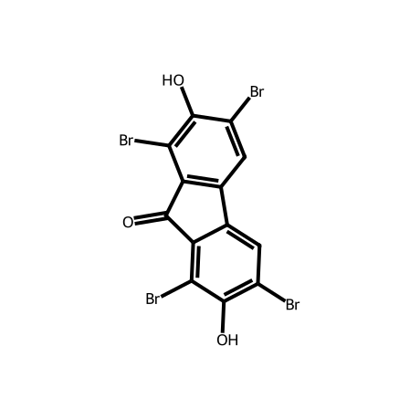 O=C1c2c(cc(Br)c(O)c2Br)-c2cc(Br)c(O)c(Br)c21